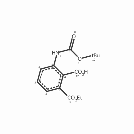 CCOC(=O)c1cccc(NC(=O)OC(C)(C)C)c1C(=O)O